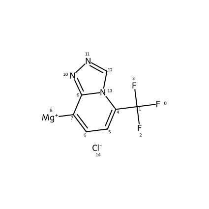 FC(F)(F)c1cc[c]([Mg+])c2nncn12.[Cl-]